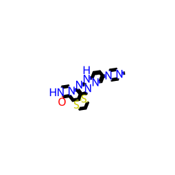 CN1CCN(c2ccc(Nc3ncc4c(n3)N3CCNC(=O)C3CC43SCCCS3)nc2)CC1